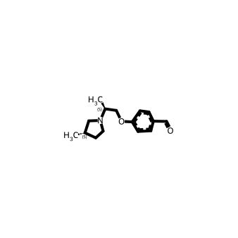 C[C@H]1CCN([C@@H](C)COc2ccc(C=O)cc2)C1